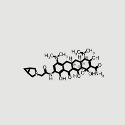 CN(C)c1cc(NC(=O)CN2CC3CC3C2)c(O)c2c1C[C@H]1C[C@H]3[C@H](N(C)C)C(O)=C(C(N)=O)C4(O)O[C@]34C(O)=C1C2=O